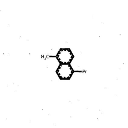 Cc1cccc2c(C(C)C)cccc12